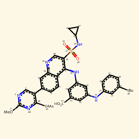 COc1ncc(-c2ccc3c(Nc4cc(Nc5cccc(C(C)(C)C)c5)cc(C(=O)O)c4)c(S(=O)(=O)NC4CC4)cnc3c2)c(OC)n1